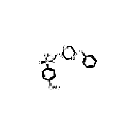 COc1ccc(P(C)(=O)OC[C@H]2CN[C@@H](Cc3ccccc3)CO2)cc1